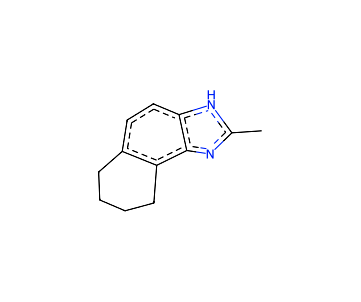 Cc1nc2c3c(ccc2[nH]1)CCCC3